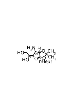 CCCCCCC[C@]12O[C@H]([C@H](O)CO)[C@@H](N)[C@H]1OC(C)(C)O2